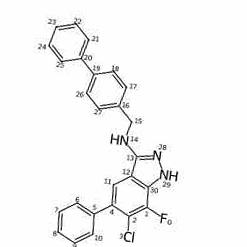 Fc1c(Cl)c(-c2ccccc2)cc2c(NCc3ccc(-c4ccccc4)cc3)n[nH]c12